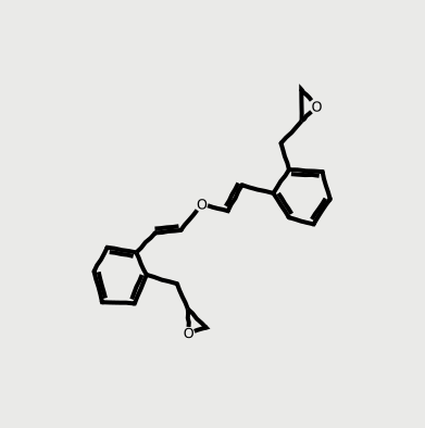 C(=C\c1ccccc1CC1CO1)/O/C=C/c1ccccc1CC1CO1